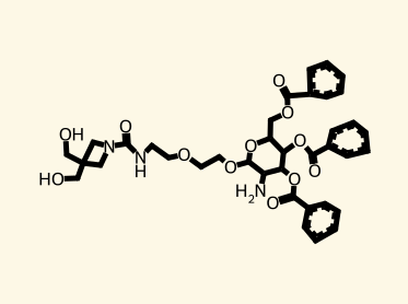 NC1C(OCCOCCNC(=O)N2CC(CO)(CO)C2)OC(COC(=O)c2ccccc2)C(OC(=O)c2ccccc2)C1OC(=O)c1ccccc1